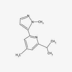 Cc1cc(-c2ccnn2C)nc(C(C)C)c1